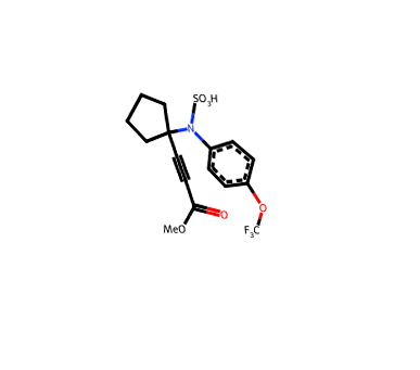 COC(=O)C#CC1(N(c2ccc(OC(F)(F)F)cc2)S(=O)(=O)O)CCCC1